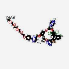 COCCOCCOCCOCCOCCO[C@H]1CC[C@H](c2nccc(COc3ccc4cc3C[C@H](C(=O)O)Oc3ncnc5sc(-c6ccc(F)cc6)c(c35)-c3c(C)c(Cl)c(c(Cl)c3C)O[C@H](CN3CCN(C)CC3)CO4)n2)CC1